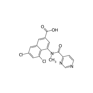 CN(C(=O)c1ccncn1)c1cc(C(=O)O)cc2cc(Cl)cc(Cl)c12